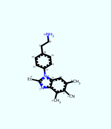 CCc1nc2c(C)c(C#N)c(C)cc2n1-c1ccc(CCN)cc1